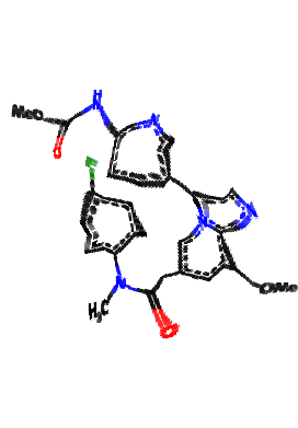 COC(=O)Nc1ccc(-c2cnc3c(OC)cc(C(=O)N(C)c4ccc(F)cc4)cn23)cn1